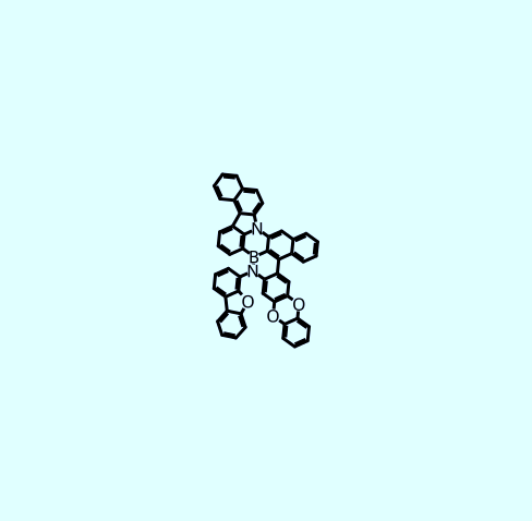 c1ccc2c(c1)Oc1cc3c(cc1O2)N(c1cccc2c1oc1ccccc12)B1c2c(cc4ccccc4c2-3)-n2c3ccc4ccccc4c3c3cccc1c32